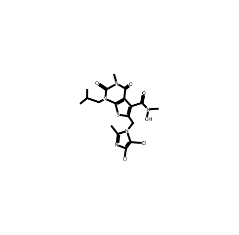 Cc1nc(Cl)c(Cl)n1Cc1sc2c(c1C(=O)N(C)O)c(=O)n(C)c(=O)n2CC(C)C